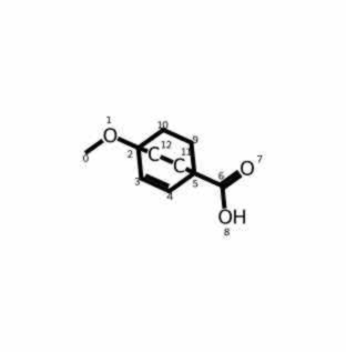 COC12C=CC(C(=O)O)(CC1)CC2